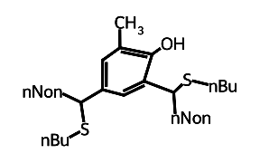 CCCCCCCCCC(SCCCC)c1cc(C)c(O)c(C(CCCCCCCCC)SCCCC)c1